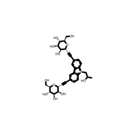 CC(O)Cn1c2ccc(C#C[C@H]3O[C@H](CO)[C@@H](O)[C@H](O)[C@@H]3O)cc2c2cc(C#C[C@H]3O[C@H](CO)[C@@H](O)[C@H](O)[C@@H]3O)ccc21